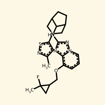 Cc1cc(N2CC3CCC(C2)C3Nc2nc3c(OCC4CC4(C)F)cccn3n2)sn1